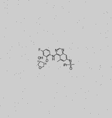 Cc1cc(N=S(C)(=O)C(C)C)cc2ncnc(Nc3ccc(F)cc3O[C@@H]3COC[C@@H]3O)c12